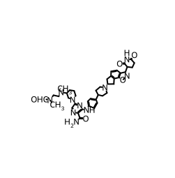 CN(C=O)CCN(C)C1CCCN(c2cnc(C(N)=O)c(Nc3ccc(C4CCN(C5Cc6ccc7c(C8CCC(=O)NC8=O)noc7c6C5)CC4)cc3)n2)C1